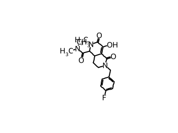 CN(C)C(=O)C1C2CCN(Cc3ccc(F)cc3)C(=O)C2=C(O)C(=O)N1C